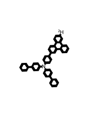 [2H]c1ccc2c3ccc(-c4ccc(N(c5ccc(-c6ccccc6)cc5)c5ccc(-c6ccccc6)cc5)cc4)cc3c3ccccc3c2c1